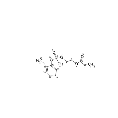 C=CC(=O)OCCOP(=O)(O)Oc1ccccc1C